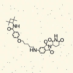 CC1(C)CC(C)(C)C1NC(=O)c1ccc(OCCCCCNc2ccc3c(c2)C(=O)N(C2CCC(=O)NC2=O)C3=O)cc1